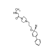 CNCC(=O)N1CCN(CCCOC2(C#N)C=CC(c3ccccc3)=CC2)CC1